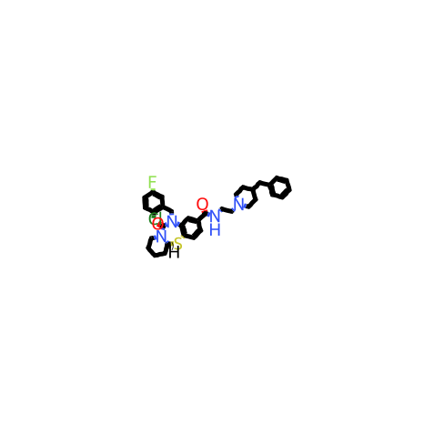 O=C(NCCN1CCC(Cc2ccccc2)CC1)c1ccc2c(c1)N(Cc1cc(F)ccc1Cl)C(=O)N1CCCC[C@@H]1S2